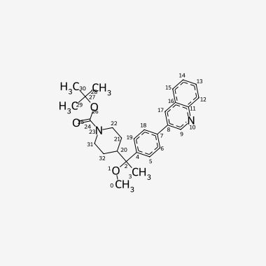 COC(C)(c1ccc(-c2cnc3ccccc3c2)cc1)C1CCN(C(=O)OC(C)(C)C)CC1